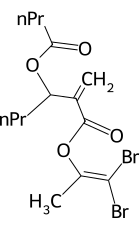 C=C(C(=O)OC(C)=C(Br)Br)C(CCC)OC(=O)CCC